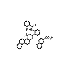 CC1(C)CC(c2ccccc2NC(=O)c2ccccc2F)Cc2ccc3c(ccc4ccccc43)c21.O=C(O)c1ccc2ncccc2c1